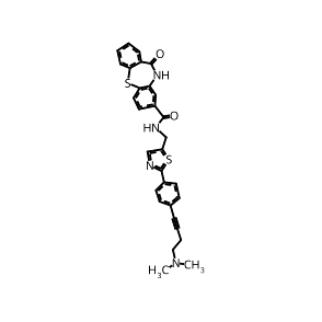 CN(C)CCC#Cc1ccc(-c2ncc(CNC(=O)c3ccc4c(c3)NC(=O)c3ccccc3S4)s2)cc1